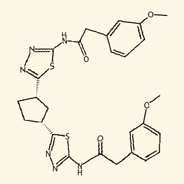 COc1cccc(CC(=O)Nc2nnc([C@@H]3CC[C@H](c4nnc(NC(=O)Cc5cccc(OC)c5)s4)C3)s2)c1